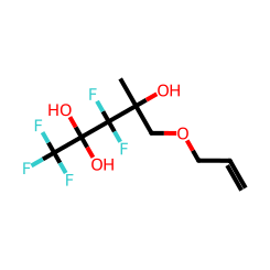 C=CCOCC(C)(O)C(F)(F)C(O)(O)C(F)(F)F